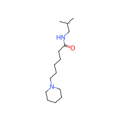 C[C](C)CNC(=O)CCCCCN1CCCCC1